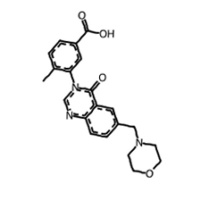 Cc1ccc(C(=O)O)cc1-n1cnc2ccc(CN3CCOCC3)cc2c1=O